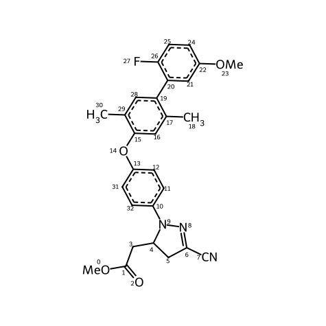 COC(=O)CC1CC(C#N)=NN1c1ccc(Oc2cc(C)c(-c3cc(OC)ccc3F)cc2C)cc1